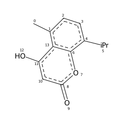 Cc1ccc(C(C)C)c2oc(=O)cc(O)c12